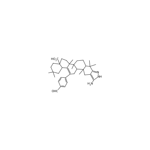 CC1(C)CCC2(C(=O)O)CCC3(C)C(=C(c4ccc(C=O)cc4)CC4C5(C)Cc6c(n[nH]c6N)C(C)(C)C5CCC43C)C2C1